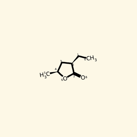 CC[C@@H]1C[C@H](C)OC1=O